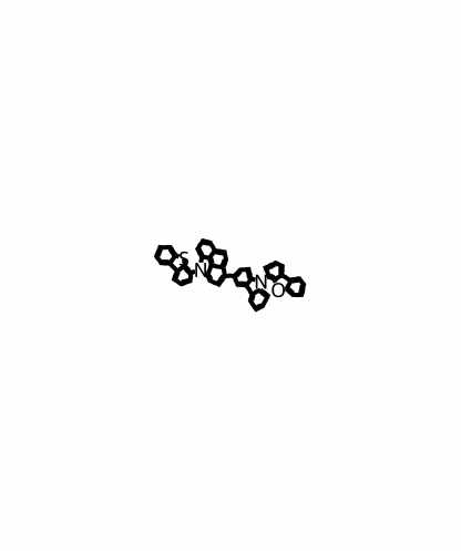 c1ccc2c(c1)oc1c(-n3c4ccccc4c4cc(-c5ccc6c7c5ccc5cccc(c57)n6-c5cccc6c5sc5ccccc56)ccc43)cccc12